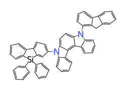 c1ccc([Si]2(c3ccccc3)c3ccccc3-c3ccc(-n4c5ccccc5c5c6c7ccccc7n(-c7cccc8c7Cc7ccccc7-8)c6ccc54)cc32)cc1